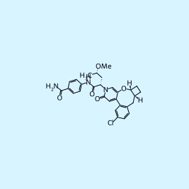 CO[C@@H](C)C[C@@H](C(=O)Nc1ccc(C(N)=O)cc1)n1cc2c(cc1=O)-c1cc(Cl)ccc1C[C@H]1CC[C@H]1O2